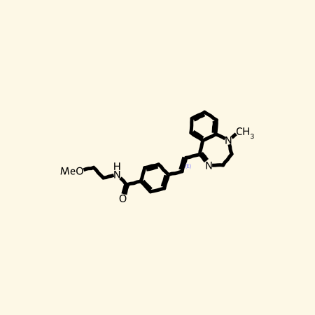 COCCNC(=O)c1ccc(/C=C/C2=NCCN(C)c3ccccc32)cc1